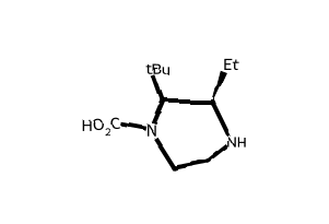 CC[C@H]1NCCN(C(=O)O)C1C(C)(C)C